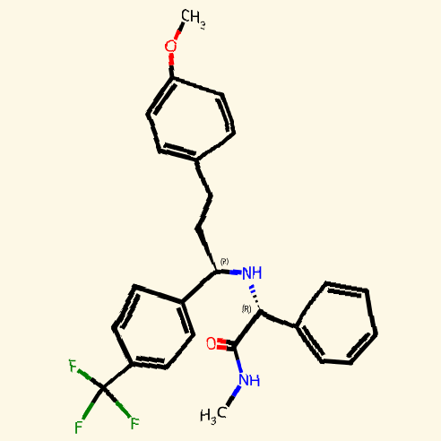 CNC(=O)[C@H](N[C@H](CCc1ccc(OC)cc1)c1ccc(C(F)(F)F)cc1)c1ccccc1